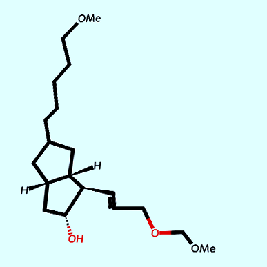 COCCCCCC1C[C@H]2C[C@@H](O)[C@H](/C=C/COCOC)[C@H]2C1